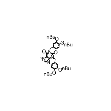 CCCCOc1ccc(Cn2c(=O)c3c(ncn3C)n(Cc3ccc(OCCCC)c(OCCCC)c3)c2=O)cc1OCCCC